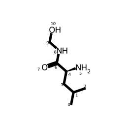 CC(C)C[C@H](N)C(=O)NCO